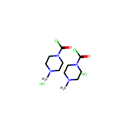 CN1CCN(C(=O)Cl)CC1.CN1CCN(C(=O)Cl)CC1.Cl.Cl